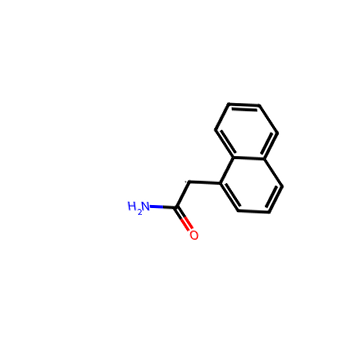 NC(=O)[CH]c1cccc2ccccc12